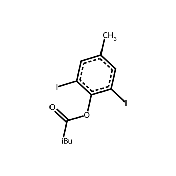 CCC(C)C(=O)Oc1c(I)cc(C)cc1I